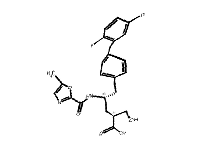 Cc1cnc(C(=O)N[C@H](Cc2ccc(-c3cc(Cl)ccc3F)cc2)C[C@@H](CO)C(=O)O)o1